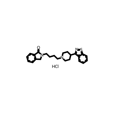 Cl.O=C1c2ccccc2CN1CCCCN1CCC(c2nsc3ccccc23)CC1